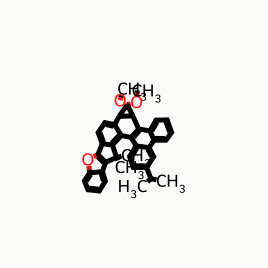 COC1(OC)C2c3ccc4c(c3-c3c(c5ccccc5c5cc(C(C)C)ccc35)C21)C(C)(C)c1c-4oc2ccccc12